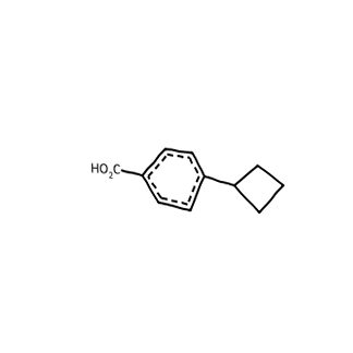 O=C(O)c1ccc(C2CCC2)cc1